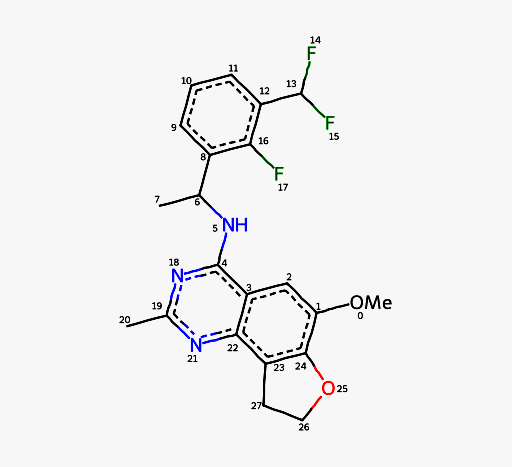 COc1cc2c(NC(C)c3cccc(C(F)F)c3F)nc(C)nc2c2c1OCC2